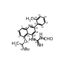 CCCCC(C)Oc1cccc2nc(-c3ccccc3C)cc(NC(=N)NC=O)c12